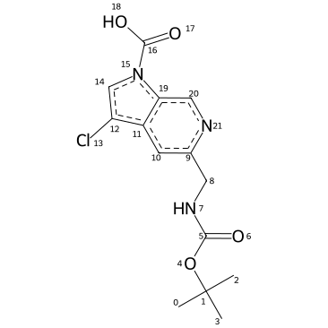 CC(C)(C)OC(=O)NCc1cc2c(Cl)cn(C(=O)O)c2cn1